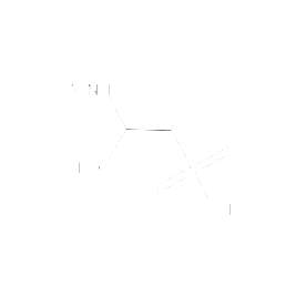 CC(=O)NC(C)CS(C)(=O)=O